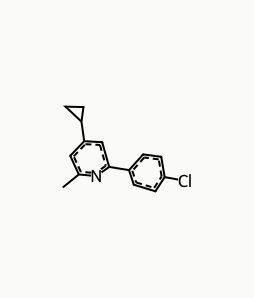 Cc1cc(C2CC2)cc(-c2ccc(Cl)cc2)n1